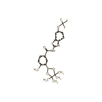 Cc1ccc(C(=O)Nc2nc3ccc(OC(F)(F)F)cc3s2)cc1B1OC(C)(C)C(C)(C)O1